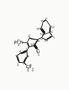 NC1=C(c2cccc(C(F)(F)F)c2)C(=O)C(C2C=Cc3ccccc32)C1